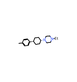 CCN1CCN([C@H]2CC[C@H](c3ccc(C)cc3)CC2)CC1